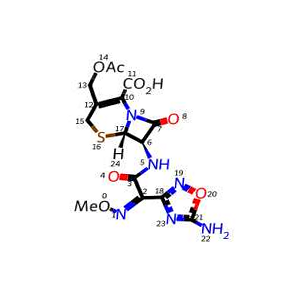 CO/N=C(\C(=O)N[C@@H]1C(=O)N2C(C(=O)O)=C(COC(C)=O)CS[C@@H]12)c1noc(N)n1